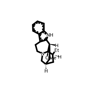 CC[C@H]1C[C@@H]2C[C@H]3c4[nH]c5ccccc5c4CCN(C2)[C@@]13OC